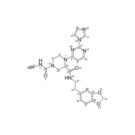 CCCNC(=O)N1CCN(c2ccnc(-n3ccnc3)n2)C(C(=O)NCCc2ccc3c(c2)OCO3)C1